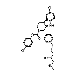 CNCC(O)CCOc1ccc([C@H]2c3[nH]c4ccc(Cl)cc4c3CCN2C(=O)Oc2ccc(Cl)cc2)cc1